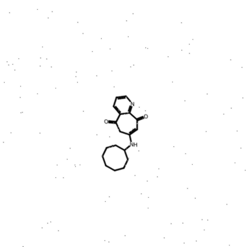 O=C1CC(NC2CCCCCCC2)=CC(=O)c2ncccc21